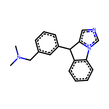 CN(C)Cc1cccc(C2c3ccccc3-n3cncc32)c1